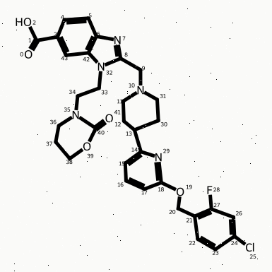 O=C(O)c1ccc2nc(CN3CCC(c4cccc(OCc5ccc(Cl)cc5F)n4)CC3)n(CCN3CCCOC3=O)c2c1